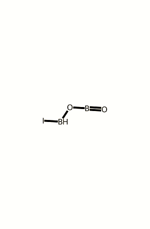 O=BOBI